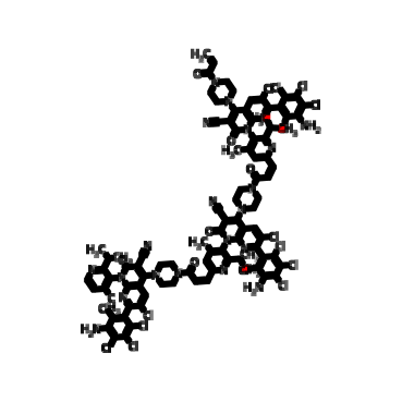 C=CC(=O)N1CCN(c2c(C#N)c(=O)n(-c3c(C)cc(/C=C\C(=O)N4CCN(c5c(C#N)c(=O)n(-c6c(C)cc(/C=C\C(=O)N7CCN(c8c(C#N)c(=O)n(-c9c(C)ccnc9C(C)C)c9nc(-c%10c(Cl)c(N)c(Cl)c(Cl)c%10Cl)c(Cl)cc89)CC7)nc6C(C)C)c6nc(-c7c(Cl)c(N)c(Cl)c(Cl)c7Cl)c(Cl)cc56)CC4)nc3C(C)C)c3nc(-c4c(Cl)c(N)c(Cl)c(Cl)c4Cl)c(Cl)cc23)CC1